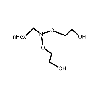 CCCCCCCN(OCCO)OCCO